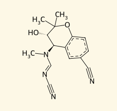 CN(C=NC#N)[C@@H]1c2cc(C#N)ccc2OC(C)(C)[C@H]1O